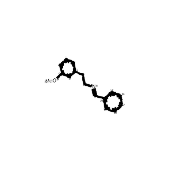 COc1cccc(CC/N=C/c2ccccc2)c1